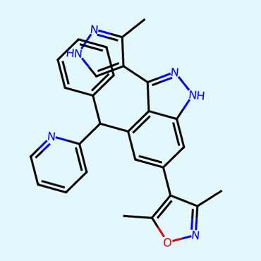 Cc1n[nH]cc1-c1n[nH]c2cc(-c3c(C)noc3C)cc(C(c3ccccc3)c3ccccn3)c12